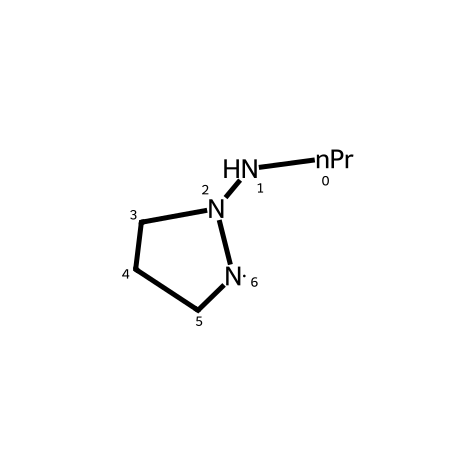 CCCNN1CCC[N]1